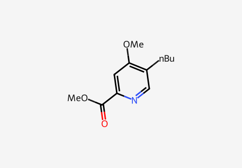 CCCCc1cnc(C(=O)OC)cc1OC